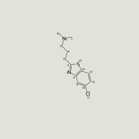 CN(C)CCCc1nc2cc(Cl)ccc2s1